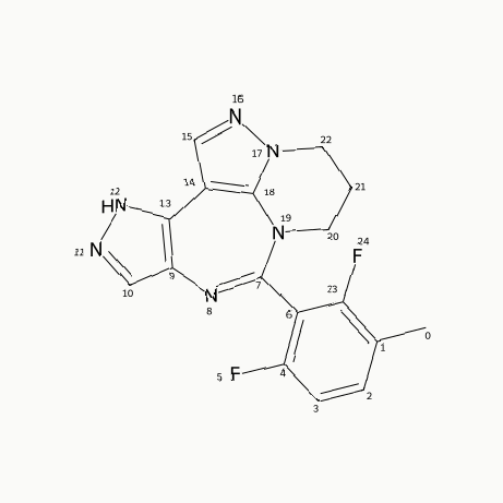 Cc1ccc(F)c(C2=Nc3cn[nH]c3-c3cnn4c3N2CCC4)c1F